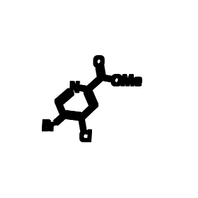 COC(=O)c1cc(Cl)c(Br)cn1